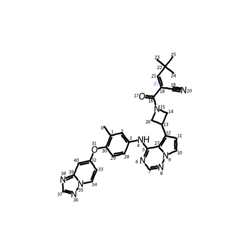 Cc1cc(Nc2ncnn3ccc(C4CN(C(=O)/C(C#N)=C/C(C)(C)C)C4)c23)ccc1Oc1ccn2ncnc2c1